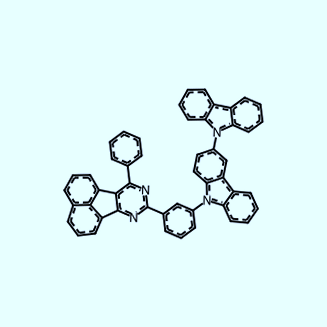 c1ccc(-c2nc(-c3cccc(-n4c5ccccc5c5cc(-n6c7ccccc7c7ccccc76)ccc54)c3)nc3c2-c2cccc4cccc-3c24)cc1